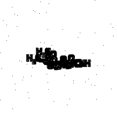 CCCCC(Oc1ccc(N2CCN(C3CCNCC3)C(=O)C2=O)cc1)C(=O)OC(C)=O